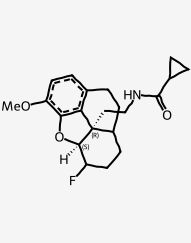 COc1ccc2c3c1O[C@@H]1C(F)CCC(CC2)[C@]31CCNC(=O)C1CC1